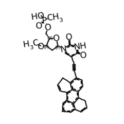 CO[C@@H]1C[C@H](n2cc(C#Cc3ccc4c5c6c(cccc6c6c4c3CC=C6)C=CC5)c(=O)[nH]c2=O)O[C@@H]1COP(C)(=O)O